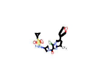 O=C(c1nc2c(C(F)(F)F)cc(-c3ccoc3)cn2c1Cl)N1CC(NS(=O)(=O)C2CC2)C1